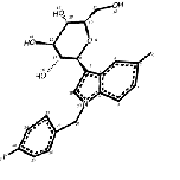 Cc1ccc2c(c1)c([C@@H]1O[C@H](CO)[C@@H](O)[C@H](O)[C@H]1O)cn2Cc1ccc(F)cc1